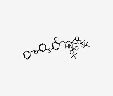 CC(C)(C)OC(=O)NC(C=O)(CCCc1ccc(Sc2cccc(OCc3ccccc3)c2)cc1Cl)CO[Si](C)(C)C(C)(C)C